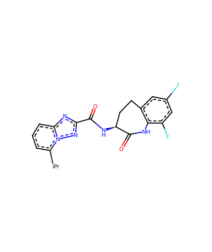 CC(C)c1cccc2nc(C(=O)N[C@H]3CCc4cc(F)cc(F)c4NC3=O)nn12